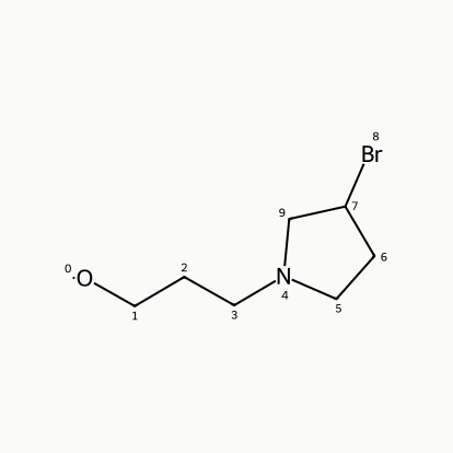 [O]CCCN1CCC(Br)C1